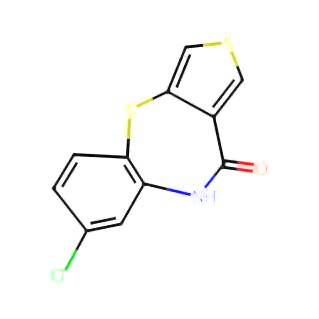 O=C1Nc2cc(Cl)ccc2Sc2cscc21